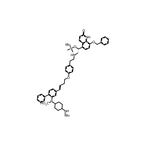 CC(C)(C)NC1CCC(N(C(=O)O)c2cc(C=CCCOc3ccc(CCNC[C@H](O[Si](C)(C)C(C)(C)C)c4ccc(OCc5ccccc5)c5[nH]c(=O)ccc45)cc3)ccc2-c2ccccc2)CC1